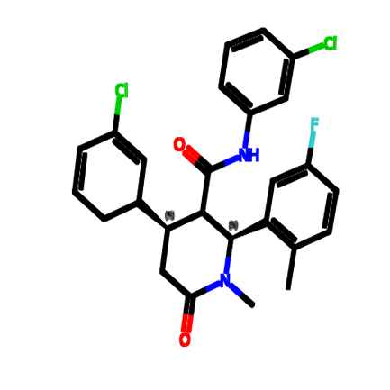 Cc1ccc(F)cc1[C@@H]1C(C(=O)Nc2cccc(Cl)c2)[C@H](C2C=C(Cl)C=CC2)CC(=O)N1C